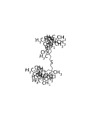 CC(CCCN([Si](C)(C)C(C)(C)C)[Si](C)(C)C(C)(C)C)(CCSCCC(C)(CCCN([Si](C)(C)C(C)(C)C)[Si](C)(C)C(C)(C)C)[SiH](Cl)Cl)[SiH](Cl)Cl